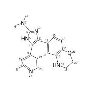 Cc1cc(-c2[nH]c(N(C)C)nc2-c2ccc3c(c2)NCCO3)ccn1